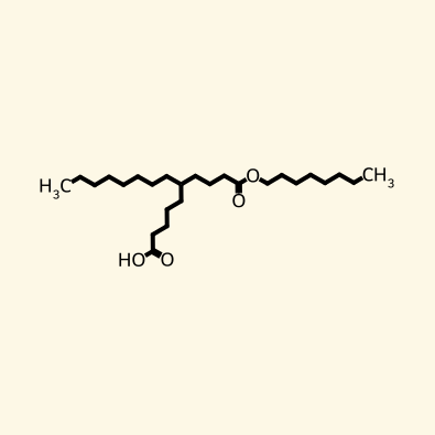 CCCCCCCCOC(=O)CCCC(CCCCCCCC)CCCCC(=O)O